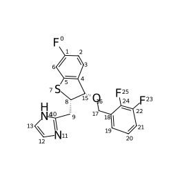 Fc1ccc2c(c1)S[C@@H](Cc1ncc[nH]1)[C@H]2OCc1cccc(F)c1F